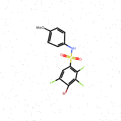 COc1ccc(NS(=O)(=O)c2cc(F)c(Br)c(F)c2F)cc1